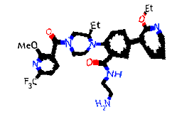 CCOc1ncccc1-c1ccc(N2CCN(C(=O)c3ccc(C(F)(F)F)nc3OC)C[C@H]2CC)c(C(=O)NCCN)c1